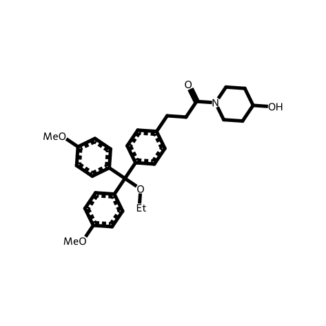 CCOC(c1ccc(CCC(=O)N2CCC(O)CC2)cc1)(c1ccc(OC)cc1)c1ccc(OC)cc1